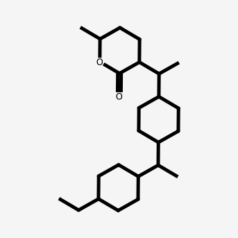 CCC1CCC(C(C)C2CCC(C(C)C3CCC(C)OC3=O)CC2)CC1